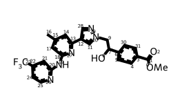 COC(=O)c1ccc(C(O)Cn2cc(-c3cc(C)cc(Nc4cc(C(F)(F)F)ccn4)n3)cn2)cc1